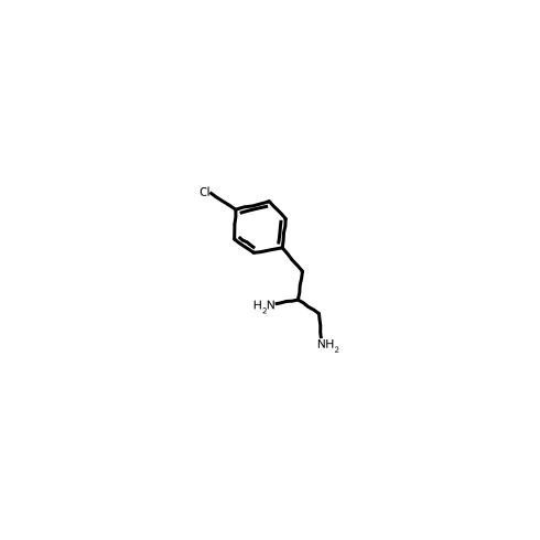 NCC(N)Cc1ccc(Cl)cc1